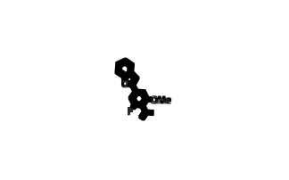 C=C(C)c1c(F)cc(-c2cc3ccccc3o2)cc1OC